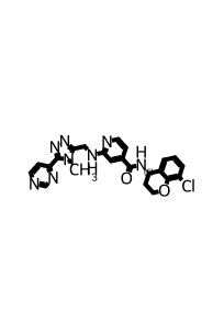 Cn1c(CNc2cc(C(=O)N[C@H]3CCOc4c(Cl)cccc43)ccn2)nnc1-c1ccncn1